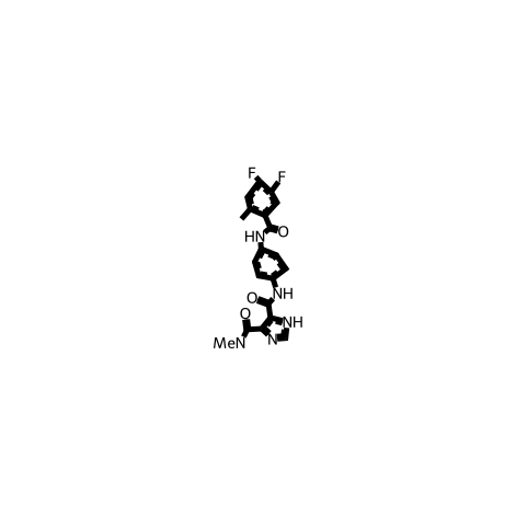 CNC(=O)c1nc[nH]c1C(=O)Nc1ccc(NC(=O)c2cc(F)c(F)cc2C)cc1